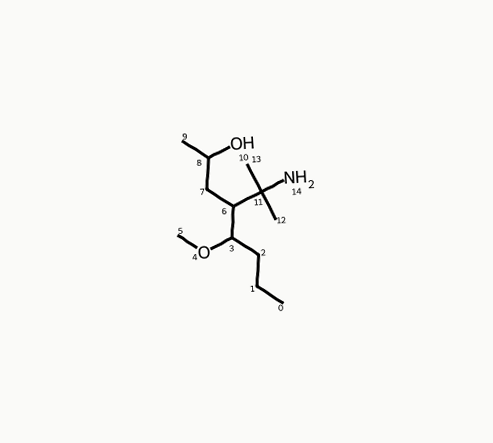 CCCC(OC)C(CC(C)O)C(C)(C)N